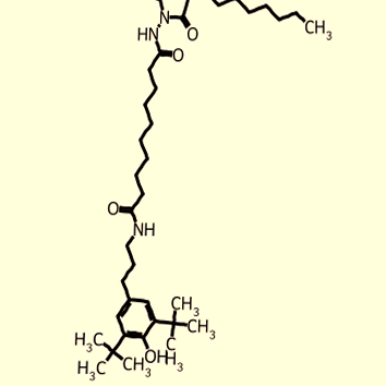 CCCCCCCCC1CC(=O)N(NC(=O)CCCCCCCCC(=O)NCCCc2cc(C(C)(C)C)c(O)c(C(C)(C)C)c2)C1=O